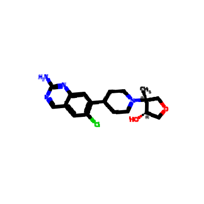 C[C@@]1(N2CCC(c3cc4nc(N)ncc4cc3Cl)CC2)COC[C@@H]1O